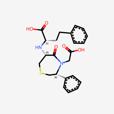 O=C(O)CN1C(=O)[C@@H](N[C@@H](CCc2ccccc2)C(=O)O)CSC[C@H]1c1ccccc1